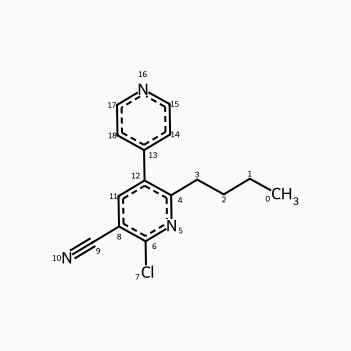 CCCCc1nc(Cl)c(C#N)cc1-c1ccncc1